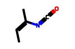 CC=C(C)N=C=O